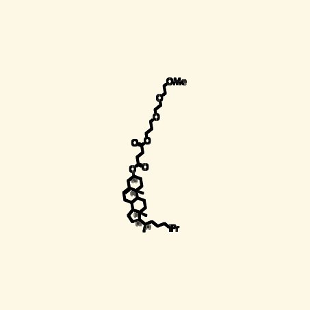 COCCOCCOCCCOC(=O)CCC(=O)O[C@H]1CC[C@@]2(C)C(=CCC3C2CC[C@@]2(C)C3CC[C@@H]2[C@H](C)CCCC(C)C)C1